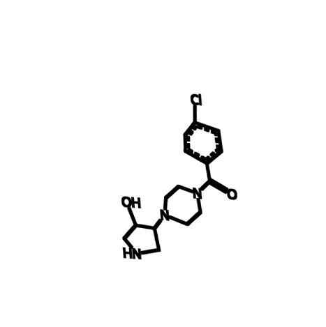 O=C(c1ccc(Cl)cc1)N1CCN(C2CNCC2O)CC1